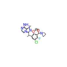 Cc1nc(C(C)c2cc(Cl)c(F)c(C(=O)N3CCC3)c2OC(C)C)n2ccnc(N)c12